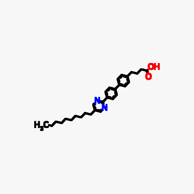 CCCCCCCCCCc1cnc(-c2ccc(-c3ccc(CCCC(=O)O)cc3)cc2)nc1